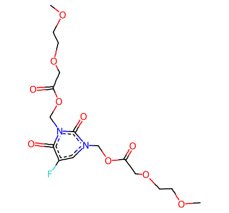 COCCOCC(=O)OCn1cc(F)c(=O)n(COC(=O)COCCOC)c1=O